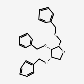 c1ccc(COC[C@H]2OC[C@H](OCc3ccccc3)[C@@H]2OCc2ccccc2)cc1